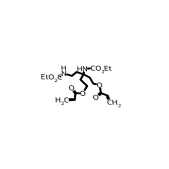 C=CC(=O)OCCC(CCNC(=O)OCC)(CCOC(=O)C=C)NC(=O)OCC